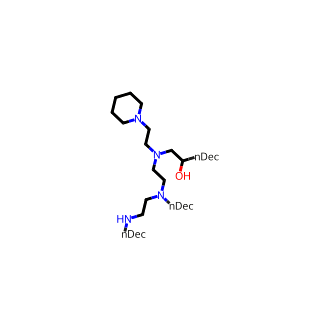 CCCCCCCCCCNCCN(CCCCCCCCCC)CCN(CCN1CCCCC1)CC(O)CCCCCCCCCC